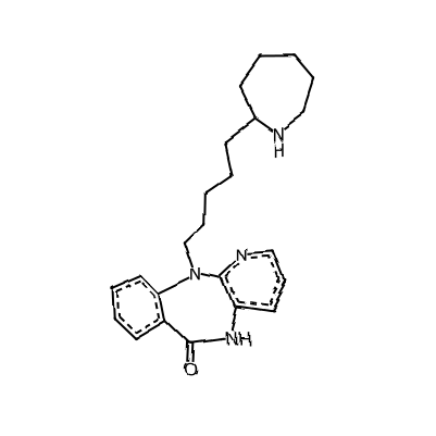 O=C1Nc2cccnc2N(CCCCCC2CCCCCN2)c2ccccc21